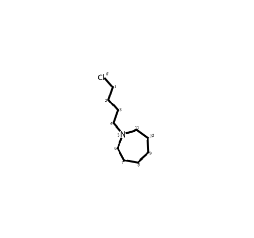 ClCCCCN1CCCCCC1